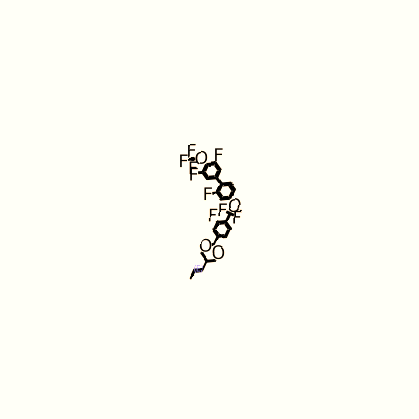 C/C=C/C1COC(c2ccc(C(F)(F)Oc3ccc(-c4cc(F)c(OC(F)(F)F)c(F)c4)c(F)c3)c(F)c2)OC1